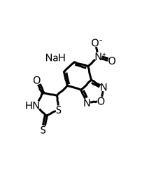 O=C1NC(=S)SC1c1ccc([N+](=O)[O-])c2nonc12.[NaH]